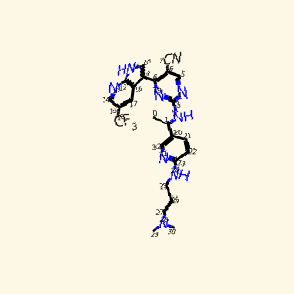 C[C@@H](Nc1ncc(C#N)c(-c2c[nH]c3ncc(C(F)(F)F)cc23)n1)c1ccc(NCCCN(C)C)nc1